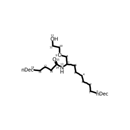 CCCCCCCCCCCCCCCCC(COCCO)NC(=O)CCCCCCCCCCCCC